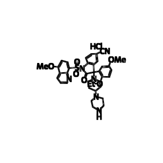 CCOc1ccc(OC)cc1C1(N2CCC(N3CCNCC3)CC2)C(=O)N(S(=O)(=O)c2ccc(OC)c3cccnc23)c2ccc(C#N)cc21.Cl